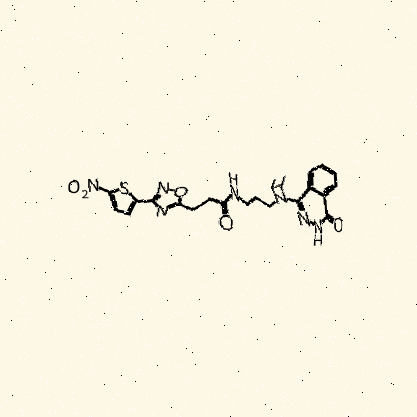 O=C(CCc1nc(-c2ccc([N+](=O)[O-])s2)no1)NCCCNc1n[nH]c(=O)c2ccccc12